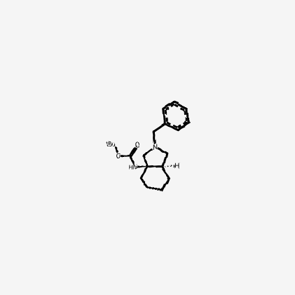 CC(C)(C)OC(=O)N[C@]12CCCC[C@@H]1CN(Cc1ccccc1)C2